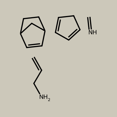 C1=CC2CCC1C2.C1=CCC=C1.C=CCN.C=N